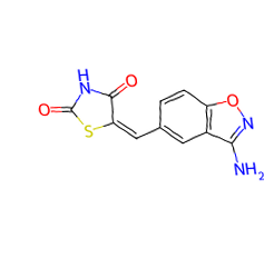 Nc1noc2ccc(C=C3SC(=O)NC3=O)cc12